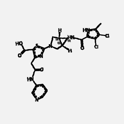 Cc1[nH]c(C(=O)N[C@H]2[C@@H]3CN(c4nc(CC(=O)Nc5cccnc5)c(C(=O)O)s4)C[C@@H]32)c(Cl)c1Cl